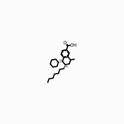 CCCCCCC[C@@H]1CC(C)c2cc(C(=O)O)ccc2[C@H]1C1CCCCC1